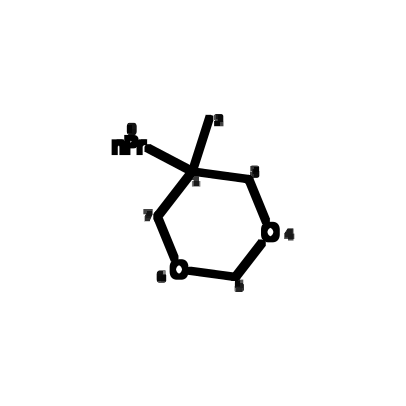 CCCC1(C)COCOC1